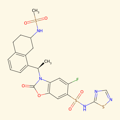 C[C@H](c1cccc2c1CC(NS(C)(=O)=O)CC2)n1c(=O)oc2cc(S(=O)(=O)Nc3ncns3)c(F)cc21